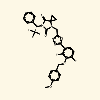 COc1ccc(COc2c(F)ccc(-c3nnc(CN4C(=O)N([C@@H](c5ccccc5)C(F)(F)F)C(=O)C45CC5)s3)c2F)cc1